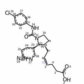 O=C(O)CC/C=C\C[C@@H]1CCN(C(=O)Nc2ccc(Cl)cc2)[C@@H]1c1cccnc1.[NaH]